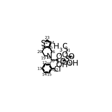 CCOS(=O)(=O)O.O=C(O)[C@H](c1ccccc1Cl)N1CCc2sccc2C1